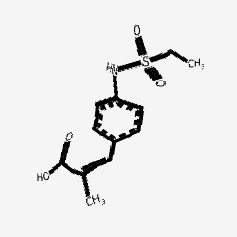 CCS(=O)(=O)Nc1ccc(C=C(C)C(=O)O)cc1